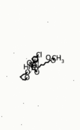 COC(=O)CCCCCNC(=O)[C@H](COC1CCCCO1)NS(=O)(=O)c1ccc(Cl)cc1